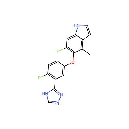 Cc1c(Oc2ccc(F)c(-c3nnc[nH]3)c2)c(F)cc2[nH]ccc12